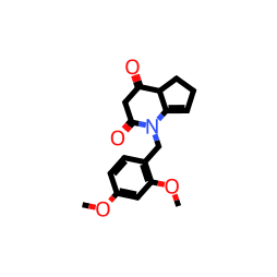 COc1ccc(CN2C(=O)CC(=O)C3CCC=C32)c(OC)c1